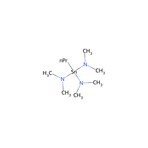 CC[CH2][Sn]([N](C)C)([N](C)C)[N](C)C